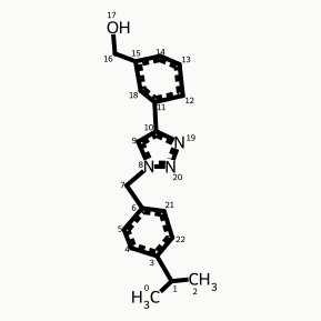 CC(C)c1ccc(Cn2cc(-c3cccc(CO)c3)nn2)cc1